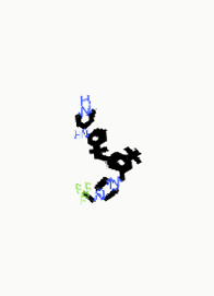 CC(C)(C)c1cc(CN2CCN(CC(F)(F)F)CC2)cc(CC(C)(C)c2cccc(NC3CCNCC3)c2)c1